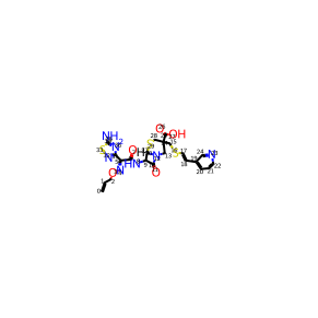 C=CCON=C(C(=O)NC1C(=O)N2CC(CSC=Cc3cccnc3)(C(=O)O)CS[C@H]12)c1nsc(N)n1